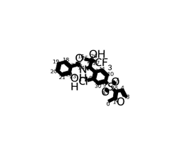 Cc1occc1S(=O)(=O)c1ccc(C(NC(=O)c2ccccc2O)C(C)(O)C(F)(F)F)c(Cl)c1